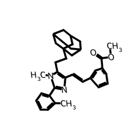 COC(=O)c1cccc(/C=C/c2nc(-c3ccccc3C)n(C)c2CCC23CC4CC(CC(C4)C2)C3)c1